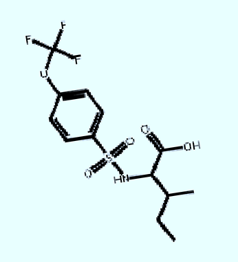 CCC(C)C(NS(=O)(=O)c1ccc(OC(F)(F)F)cc1)C(=O)O